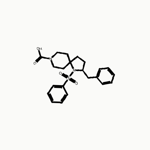 O=C(O)N1CCC2(CCC(Cc3ccccc3)N2S(=O)(=O)c2ccccc2)CC1